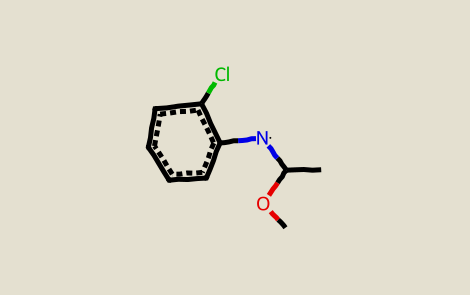 COC(C)[N]c1ccccc1Cl